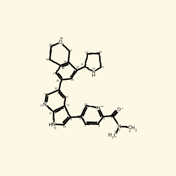 CN(C)C(=O)c1ccc(-c2c[nH]c3ncc(-c4cc5c(c(C6CCCN6)c4)COCC5)cc23)cn1